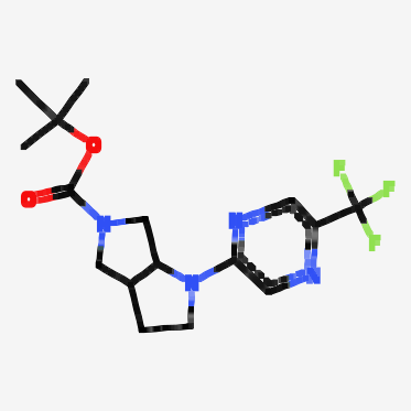 CC(C)(C)OC(=O)N1CC2CCN(c3cnc(C(F)(F)F)cn3)C2C1